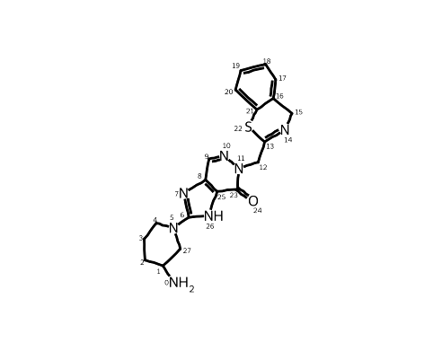 NC1CCCN(c2nc3cnn(CC4=NCc5ccccc5S4)c(=O)c3[nH]2)C1